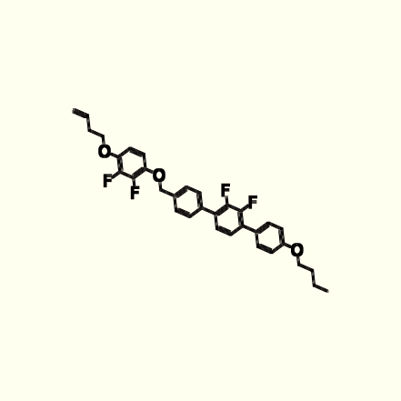 C=CCCOc1ccc(OCc2ccc(-c3ccc(-c4ccc(OCCCC)cc4)c(F)c3F)cc2)c(F)c1F